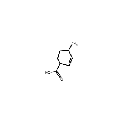 CC1C=CC(C(=O)O)CC1